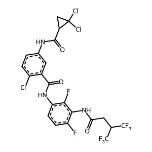 O=C(CC(C(F)(F)F)C(F)(F)F)Nc1c(F)ccc(NC(=O)c2cc(NC(=O)C3CC3(Cl)Cl)ccc2Cl)c1F